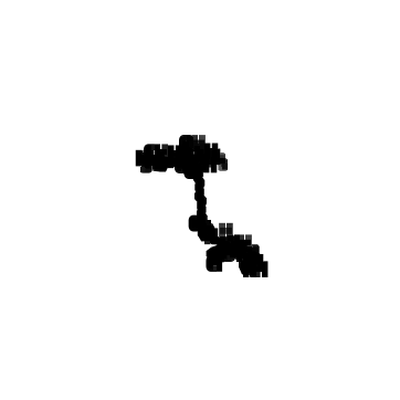 Cc1ncsc1-c1ccc(CNC(=O)[C@@H]2C[C@@H](O)CN2C(=O)[C@@H](NC(=O)CCCCCCCCCCCC(=O)N2CCN(CC[C@H](NC(=O)C3(N)CCN(c4ncnc5[nH]ccc45)CC3)c3ccc(Cl)cc3)CC2)C(C)(C)C)cc1